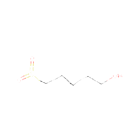 O=[SH](=O)CCCCCO